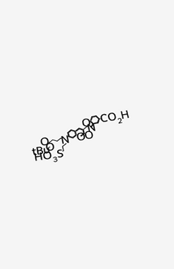 CC(C)(C)OC(=O)CCCN(CCCS(=O)(=O)O)c1ccc2cc(-c3nc4cc(C(=O)O)ccc4o3)c(=O)oc2c1